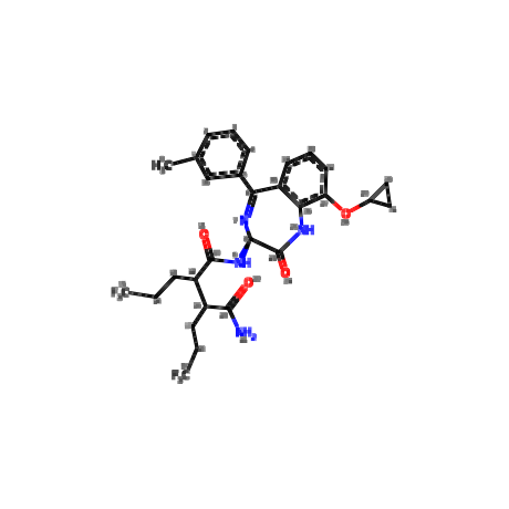 Cc1cccc(C2=N[C@H](NC(=O)C(CCC(F)(F)F)C(CCC(F)(F)F)C(N)=O)C(=O)Nc3c(OC4CC4)cccc32)c1